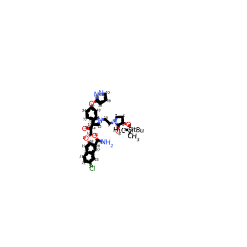 CC(C)(C)[Si](C)(C)OC1CCN(CCn2cc(C(=O)COc3cc4ccc(Cl)cc4cc3C(N)=O)c3ccc(Oc4cccnn4)cc32)C1=O